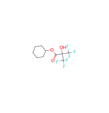 O=C(OC1CCCCC1)C(O)(C(F)(F)F)C(F)(F)F